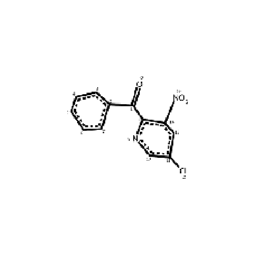 O=C(c1ccccc1)c1ncc(Cl)cc1[N+](=O)[O-]